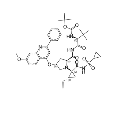 C=C[C@H]1C[C@]1(C(=O)NS(=O)(=O)C1CC1)N1C[C@H](Oc2cc(-c3ccccc3)nc3cc(OC)ccc23)C[C@H]1C(=O)NC(=O)[C@@H](NC(=O)OC(C)(C)C)C(C)(C)C